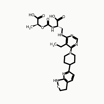 CCc1c(NC[C@H](NC(=O)O[C@@H](C)C(=O)O)C(=O)O)ncnc1N1CCC(c2ccc3c(n2)NCCC3)CC1